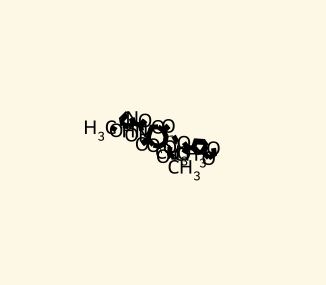 COc1ccnc(C(=O)N[C@H]2COC(=O)[C@H](CCOC(=O)c3ccc4c(c3)OCO4)[C@@H](OC(=O)C(C)C)[C@H](C)OC2=O)c1O